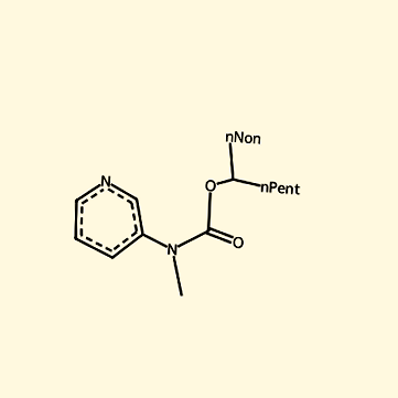 CCCCCCCCCC(CCCCC)OC(=O)N(C)c1cccnc1